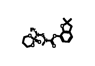 CC(C)N(SN(C)C(=O)Oc1cccc2c1OC(C)(C)C2)P1(=O)OCCCO1